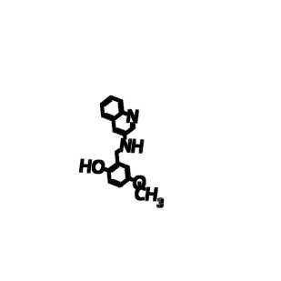 COc1ccc(O)c(CNc2cnc3ccccc3c2)c1